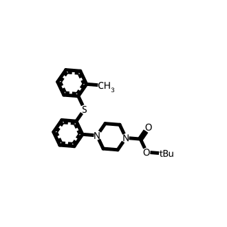 Cc1ccccc1Sc1ccccc1N1CCN(C(=O)OC(C)(C)C)CC1